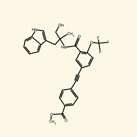 COC(=O)c1ccc(C#Cc2ccc(OC(F)(F)F)c(C(=O)NC(C)(CO)Cc3c[nH]c4ccccc34)c2)cc1